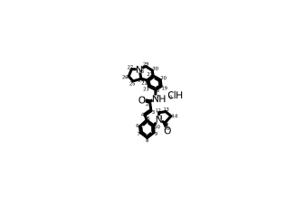 Cl.O=C(C=Cc1ccccc1N1CCCC1=O)Nc1ccc2c(c1)C1CCCN1CC2